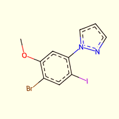 COc1cc(-n2cccn2)c(I)cc1Br